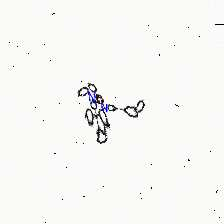 c1ccc(-c2ccc(N(c3ccc(-c4ccc5ccccc5c4)cc3)c3ccc4c(c3)C(c3ccccc3)(c3ccc5c(c3)c3ccccc3n5-c3ccccc3)c3ccccc3-4)cc2)cc1